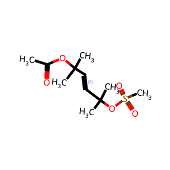 CC(=O)OC(C)(C)/C=C/C(C)(C)OS(C)(=O)=O